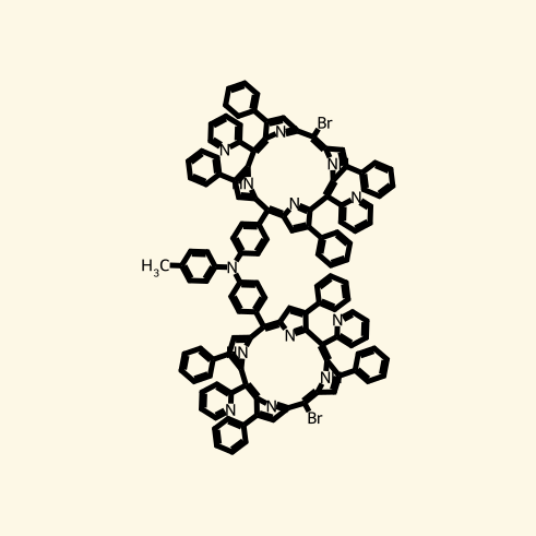 Cc1ccc(N(c2ccc(-c3c4nc(c(-c5ccccn5)c5[nH]c(cc5-c5ccccc5)c(Br)c5nc(c(-c6ccccn6)c6[nH]c3cc6-c3ccccc3)C(C3=CC=CCC3)=C5)C(c3ccccc3)=C4)cc2)c2ccc(-c3c4nc(c(-c5ccccn5)c5[nH]c(cc5-c5ccccc5)c(Br)c5nc(c(-c6ccccn6)c6[nH]c3cc6-c3ccccc3)C(c3ccccc3)=C5)C(c3ccccc3)=C4)cc2)cc1